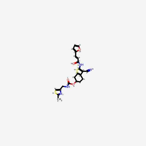 Cc1nc(CNC(=O)OC2CCc3c(sc(NC(=O)C=Cc4ccco4)c3C#N)C2)cs1